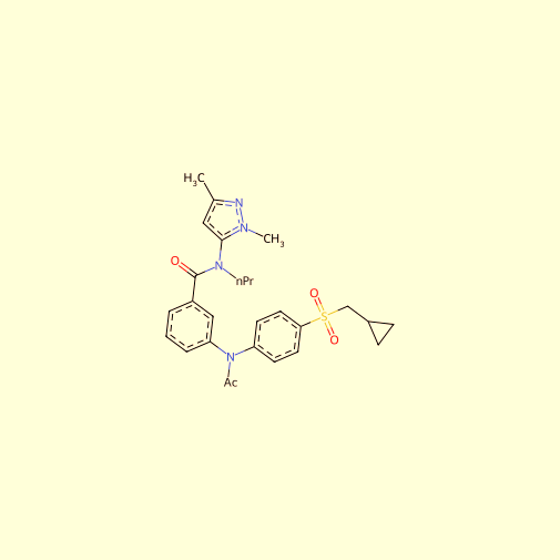 CCCN(C(=O)c1cccc(N(C(C)=O)c2ccc(S(=O)(=O)CC3CC3)cc2)c1)c1cc(C)nn1C